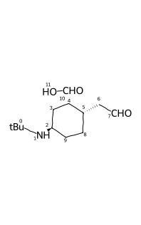 CC(C)(C)N[C@H]1CC[C@H](CC=O)CC1.O=CO